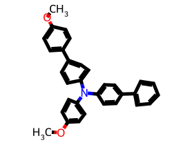 COc1ccc(-c2ccc(N(c3ccc(OC)cc3)c3ccc(-c4ccccc4)cc3)cc2)cc1